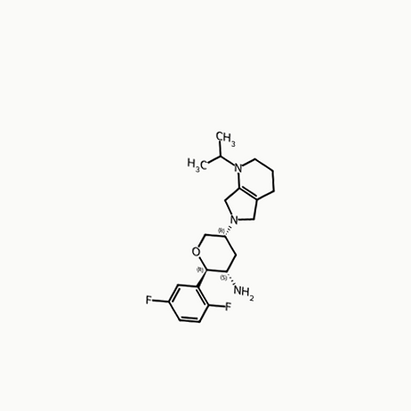 CC(C)N1CCCC2=C1CN([C@H]1CO[C@H](c3cc(F)ccc3F)[C@@H](N)C1)C2